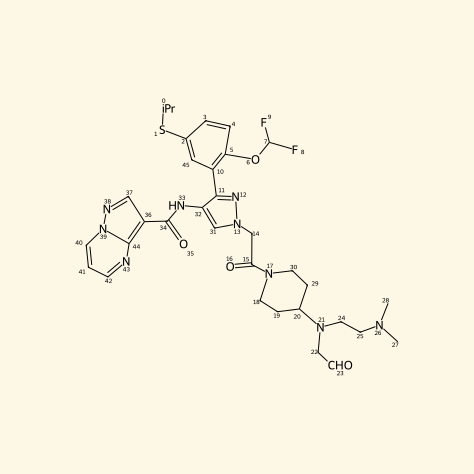 CC(C)Sc1ccc(OC(F)F)c(-c2nn(CC(=O)N3CCC(N(CC=O)CCN(C)C)CC3)cc2NC(=O)c2cnn3cccnc23)c1